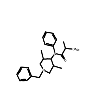 COC(C)C(=O)N(c1ccccc1)C1C(C)CN(Cc2ccccc2)CC1C